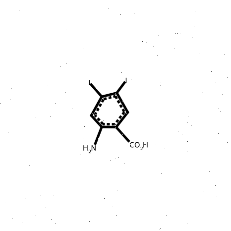 Nc1cc(I)c(I)cc1C(=O)O